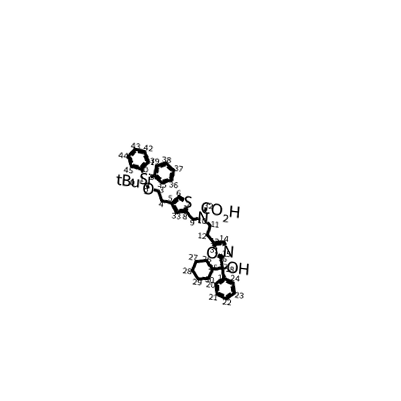 CC(C)(C)[Si](OCCc1csc(CN(CCc2cnc([C@](O)(c3ccccc3)C3CCCCC3)o2)C(=O)O)c1)(c1ccccc1)c1ccccc1